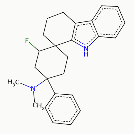 CN(C)C1(c2ccccc2)CCC2(CCCc3c2[nH]c2ccccc32)C(F)C1